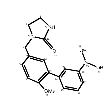 COc1ccc(CN2CCNC2=O)cc1-c1cccc(N(O)O)c1